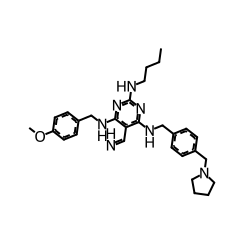 CCCCNc1nc(NCc2ccc(CN3CCCC3)cc2)c(C=N)c(NCc2ccc(OC)cc2)n1